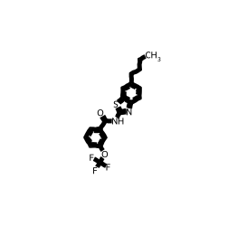 CCCCc1ccc2nc(NC(=O)c3cccc(OC(F)(F)F)c3)sc2c1